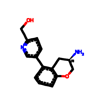 N[C@@H]1COc2cccc(-c3ccc(CO)nc3)c2C1